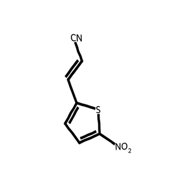 N#CC=Cc1ccc([N+](=O)[O-])s1